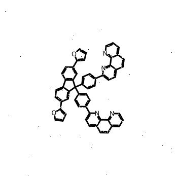 c1coc(-c2ccc3c(c2)C(c2ccc(-c4ccc5ccc6cccnc6c5n4)cc2)(c2ccc(-c4ccc5ccc6cccnc6c5n4)cc2)c2cc(-c4ccco4)ccc2-3)c1